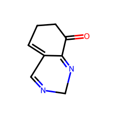 O=C1CCC=C2C=NCN=C12